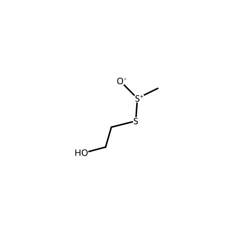 C[S+]([O-])SCCO